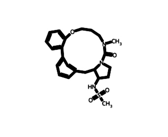 CN1CCCOc2ccccc2-c2cccc(c2)CC2C(NS(C)(=O)=O)CCN2C1=O